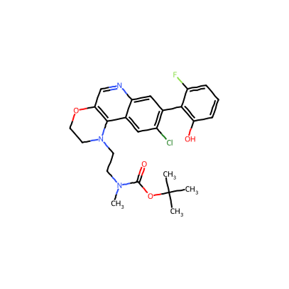 CN(CCN1CCOc2cnc3cc(-c4c(O)cccc4F)c(Cl)cc3c21)C(=O)OC(C)(C)C